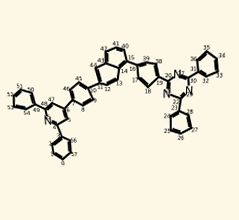 c1ccc(-c2cc(-c3ccc(-c4ccc5c(-c6ccc(-c7nc(-c8ccccc8)nc(-c8ccccc8)n7)cc6)cccc5c4)cc3)cc(-c3ccccc3)n2)cc1